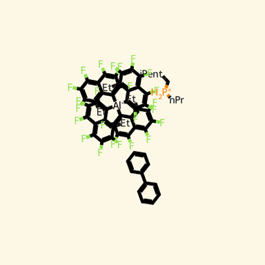 CCC[PH2+]CC(C)CCC.CCc1c(F)c(F)c(F)c2c(F)c(F)c(F)[c]([Al-]([c]3c(F)c(F)c(F)c4c(F)c(F)c(F)c(CC)c34)([c]3c(F)c(F)c(F)c4c(F)c(F)c(F)c(CC)c34)[c]3c(F)c(F)c(F)c4c(F)c(F)c(F)c(CC)c34)c12.c1ccc(-c2ccccc2)cc1